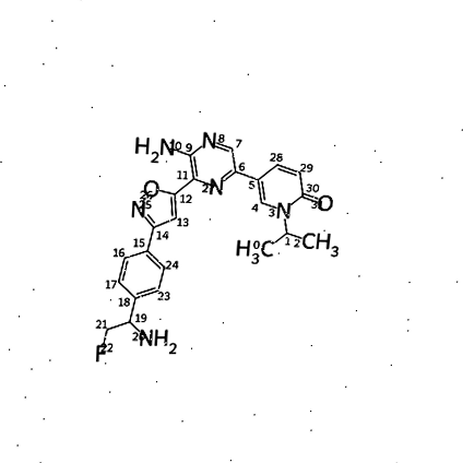 CC(C)n1cc(-c2cnc(N)c(-c3cc(-c4ccc(C(N)CF)cc4)no3)n2)ccc1=O